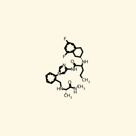 CCCC(N[C@H]1CCc2cc(F)cc(F)c2C1)C(=O)Nc1cn(-c2ccccc2CN[C@@H](C)C(=O)NC)cn1